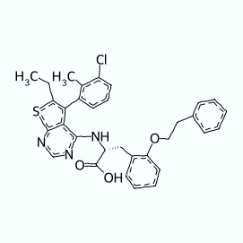 CCc1sc2ncnc(N[C@H](Cc3ccccc3OCCc3ccccc3)C(=O)O)c2c1-c1cccc(Cl)c1C